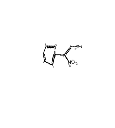 O=[N+]([O-])C(=CS)c1ccccc1